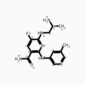 Cc1cncc(Nc2nc(NC[C@H](C)N)c(F)cc2C(N)=O)c1